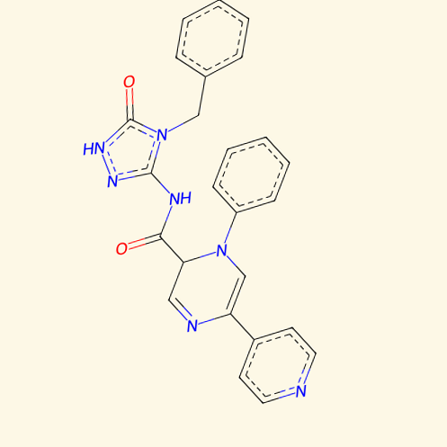 O=C(Nc1n[nH]c(=O)n1Cc1ccccc1)C1C=NC(c2ccncc2)=CN1c1ccccc1